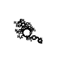 CO[C@]1(C)C[C@@H](C)CN(C)[C@H](CN2CCN(Cc3ccncn3)CC2)COC(=O)C(C)(C)C(=O)[C@H](C)[C@H]1O[C@@H]1O[C@H](C)C[C@H](N(C)C)[C@H]1O